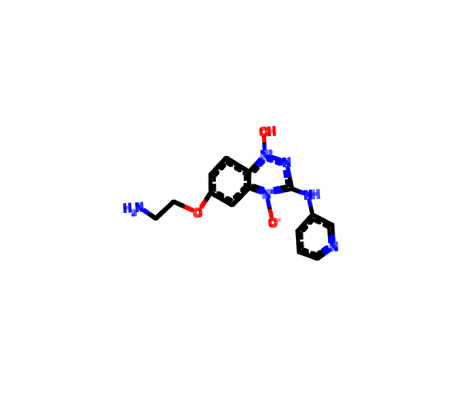 NCCOc1ccc2c(c1)[n+]([O-])c(Nc1cccnc1)n[n+]2O